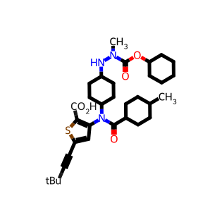 CC1CCC(C(=O)N(c2cc(C#CC(C)(C)C)sc2C(=O)O)C2CCC(NN(C)C(=O)OC3CCCCC3)CC2)CC1